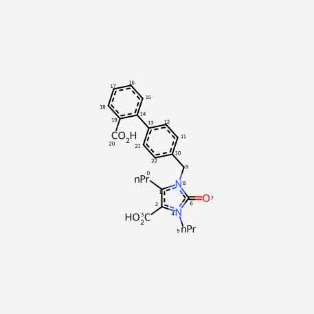 CCCc1c(C(=O)O)n(CCC)c(=O)n1Cc1ccc(-c2ccccc2C(=O)O)cc1